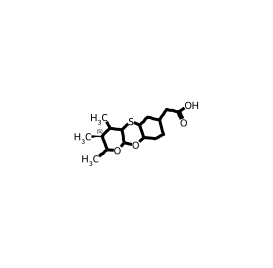 CC1OC2OC3CCC(CC(=O)O)CC3SC2C(C)[C@@H]1C